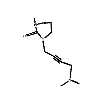 CN(C)CC#CCN1CCN(C)C1=O